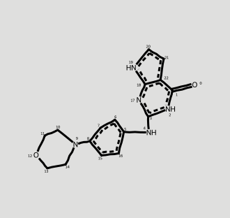 O=c1[nH]c(Nc2ccc(N3CCOCC3)cc2)nc2[nH]ccc12